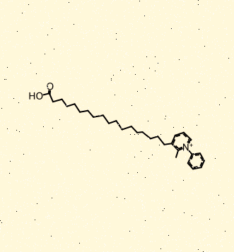 Cc1c(CCCCCCCCCCCCCCCCCC(=O)O)ccc[n+]1-c1ccccc1